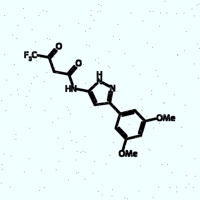 COc1cc(OC)cc(-c2cc(NC(=O)CC(=O)C(F)(F)F)[nH]n2)c1